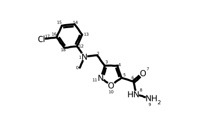 CN(Cc1cc(C(=O)NN)on1)c1cccc(Cl)c1